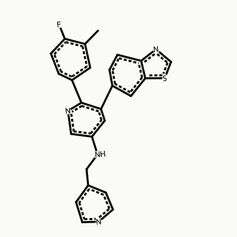 Cc1cc(-c2ncc(NCc3ccncc3)cc2-c2ccc3ncsc3c2)ccc1F